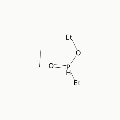 CC.CCO[PH](=O)CC